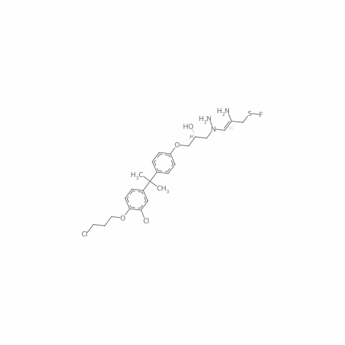 CC(C)(c1ccc(OC[C@H](O)CN(N)/C=C(\N)CSF)cc1)c1ccc(OCCCCl)c(Cl)c1